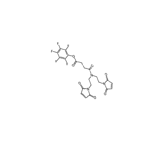 O=C(CCC(=O)N(CCN1C(=O)C=CC1=O)CCN1C(=O)C=CC1=O)Oc1c(F)c(F)c(F)c(F)c1F